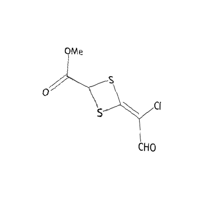 COC(=O)C1SC(=C(Cl)C=O)S1